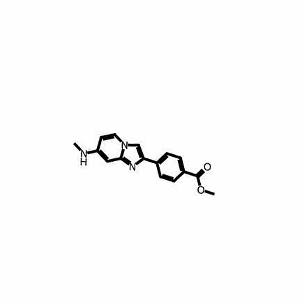 CNc1ccn2cc(-c3ccc(C(=O)OC)cc3)nc2c1